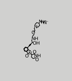 [N-]=[N+]=NC1CCN(CCOCCNCC(O)C#Cc2cccc3c2CN(C2CCC(=O)NC2=O)C3=O)CC1